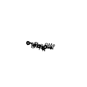 COc1cc2c(Oc3ccc(NC(=O)C(=O)NCCc4ccccc4)cc3F)ccnc2cc1OCC1CN(C)C1